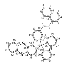 C(=C\c1cccc2ccccc12)/c1ccc2c(c1)C(c1ccccc1)(c1ccccc1)c1ccc3c(c1-2)Sc1ccccc1S3